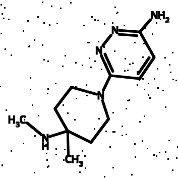 CNC1(C)CCN(c2ccc(N)nn2)CC1